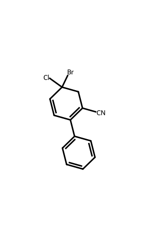 N#CC1=C(c2ccccc2)C=CC(Cl)(Br)C1